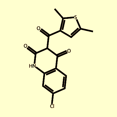 Cc1cc(C(=O)C2C(=O)Nc3cc(Cl)ccc3C2=O)c(C)s1